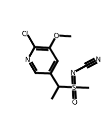 COc1cc(C(C)S(C)(=O)=NC#N)cnc1Cl